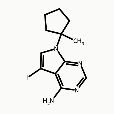 CC1(n2cc(I)c3c(N)ncnc32)CCCC1